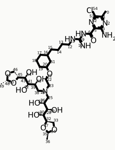 Cc1nc(N)c(C(=O)NC(=N)NCCCCC2CCCC(OCCN(C[C@H](O)[C@@H](O)[C@H](O)[C@H]3CO[C@@H](C)O3)C[C@H](O)[C@@H](O)[C@H](O)[C@H]3CO[C@@H](C)O3)C2)nc1Cl